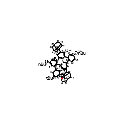 CCCCOc1ccc(-c2cccc(-c3ccc(OCCCC)cc3-c3cc(C(C)(C)C)cc(C45CC6CC(CC(C6)C4)C5)c3O)n2)c(-c2cc(C(C)(C)C)cc(C34CC5CC(CC(C5)C3)C4)c2O)c1